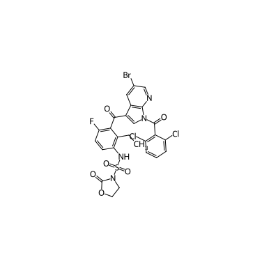 CCc1c(NS(=O)(=O)N2CCOC2=O)ccc(F)c1C(=O)c1cn(C(=O)c2c(Cl)cccc2Cl)c2ncc(Br)cc12